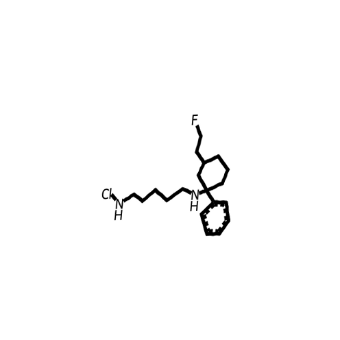 FCCC1CCCC(NCCCCCNCl)(c2ccccc2)C1